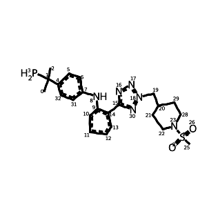 CC(C)(P)c1ccc(Nc2ccccc2-c2nnn(CC3CCN(S(C)(=O)=O)CC3)n2)cc1